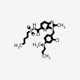 CCCCCS(=O)(=O)NC(=O)c1ccc2nc(C)n(Cc3ccc(N(C)CCC)cc3Cl)c2n1